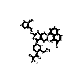 C=C(F)C(=O)N1CCN(c2nc(OCC3CCCN3C(C)C)nc3c2CCN(c2cccc4ccc(F)c(Cl)c24)C3)CC1CC#N